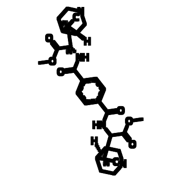 COC(=O)C(NC(=O)c1ccc(C(=O)N[C@H](C(=O)OC)[C@H]2CN3CCC2CC3)cc1)[C@H]1CN2CCC1CC2